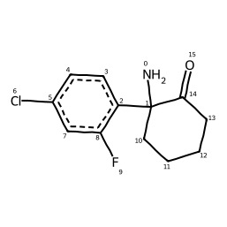 NC1(c2ccc(Cl)cc2F)CCCCC1=O